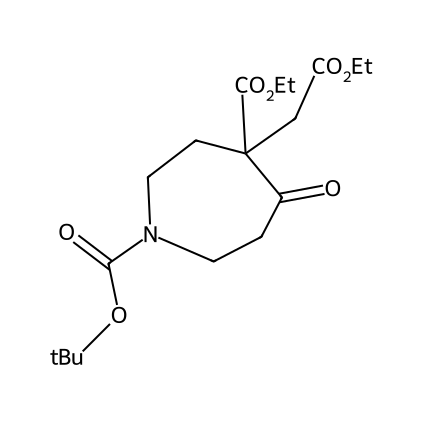 CCOC(=O)CC1(C(=O)OCC)CCN(C(=O)OC(C)(C)C)CCC1=O